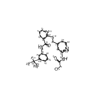 O=C(CCl)Nc1cc(CSc2ncccc2C(=O)Nc2cccc(C(F)(F)F)c2)ccn1